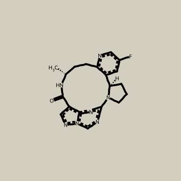 C[C@@H]1CCc2ncc(F)cc2[C@H]2CCCN2c2ncn3ncc(c3n2)C(=O)N1